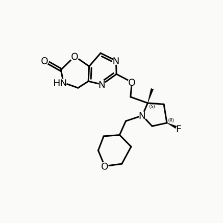 C[C@@]1(COc2ncc3c(n2)CNC(=O)O3)C[C@@H](F)CN1CC1CCOCC1